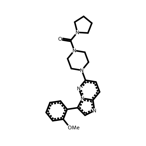 COc1ccccc1-c1cnc2ccc(N3CCN(C(=O)N4CCCC4)CC3)nn12